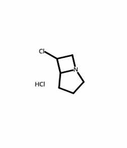 Cl.ClC1CN2CCCC12